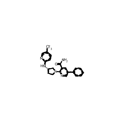 NC(=O)c1cc(-c2ccccc2)cnc1N1CC[C@H](Nc2ccc(C(F)(F)F)cn2)C1